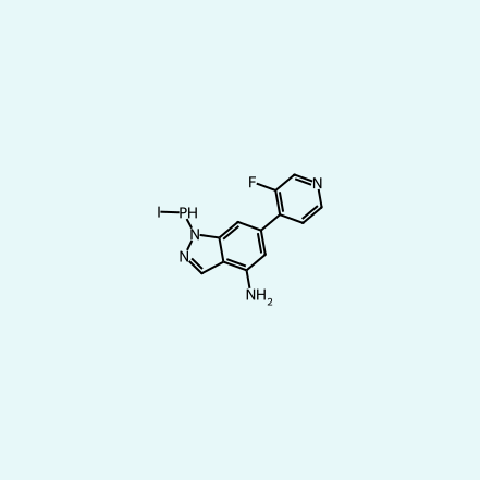 Nc1cc(-c2ccncc2F)cc2c1cnn2PI